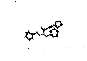 O=C(C#Cc1cccs1)N(CCc1ccccc1)Cc1ccccc1